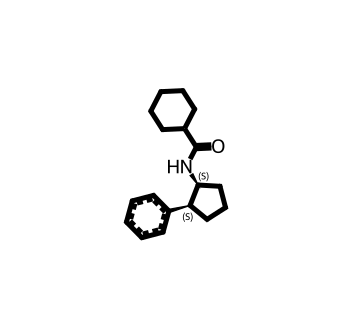 O=C(N[C@H]1CCC[C@H]1c1ccccc1)C1CCCCC1